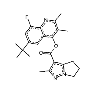 Cc1nc2c(F)cc(C(C)(C)C)cc2c(OC(=O)c2c(C)nn3c2CCC3)c1C